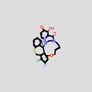 O=C1c2c(O)c(=O)ccn2N2CN1C/C=C/COc1cc(F)c(F)c3c1[C@H]2c1ccccc1SC3